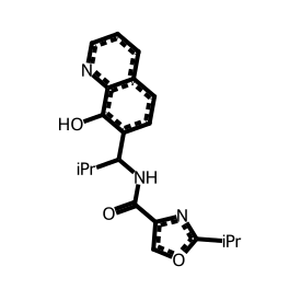 CC(C)c1nc(C(=O)NC(c2ccc3cccnc3c2O)C(C)C)co1